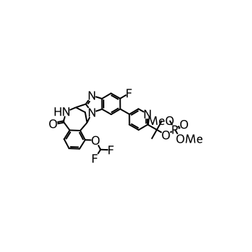 COP(=O)(OC)OC(C)(C)c1ccc(-c2cc3c(cc2F)nc2n3C3CC2NC(=O)c2cccc(OC(F)F)c23)cn1